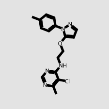 Cc1ccc(-n2nccc2OCCNc2ncnc(C)c2Cl)cc1